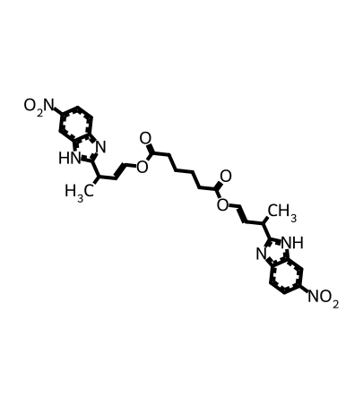 CC(C=COC(=O)CCCCC(=O)OC=CC(C)c1nc2ccc([N+](=O)[O-])cc2[nH]1)c1nc2ccc([N+](=O)[O-])cc2[nH]1